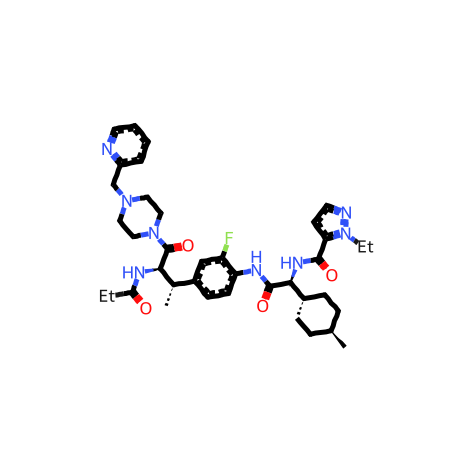 CCC(=O)N[C@@H](C(=O)N1CCN(Cc2ccccn2)CC1)[C@@H](C)c1ccc(NC(=O)[C@@H](NC(=O)c2ccnn2CC)[C@H]2CC[C@H](C)CC2)c(F)c1